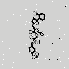 O=C(CN1C(=O)/C(=C/c2ccc(-c3ccccc3Cl)o2)SC1=S)NCc1ccc2c(c1)OCO2